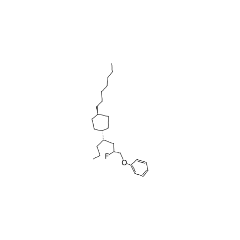 CCCCCCC[C@H]1CC[C@H](C(CCC)CC(F)COc2ccccc2)CC1